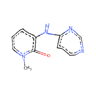 Cn1cccc(Nc2ccncn2)c1=O